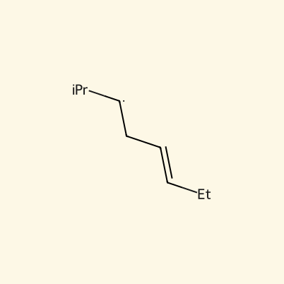 CCC=CC[CH]C(C)C